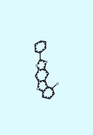 Clc1cccc2oc3cc4oc(-c5ccccc5)nc4cc3c12